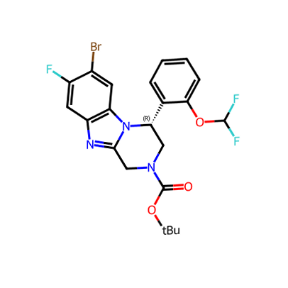 CC(C)(C)OC(=O)N1Cc2nc3cc(F)c(Br)cc3n2[C@H](c2ccccc2OC(F)F)C1